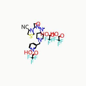 CN(C1CCN(Cc2cccnc2)CC1)N1OCC1N1CSCC1C#N.O=C(O)C(F)(F)F.O=C(O)C(F)(F)F.O=C(O)C(F)(F)F